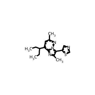 CCC(CC)c1cc(C)nn2c(-c3cncs3)c(C)nc12